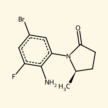 C[C@@H]1CCC(=O)N1c1cc(Br)cc(F)c1N